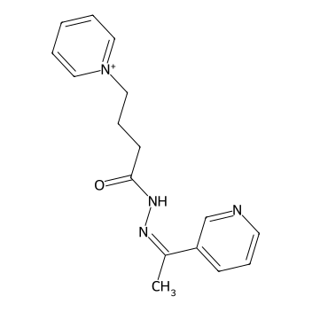 CC(=NNC(=O)CCC[n+]1ccccc1)c1cccnc1